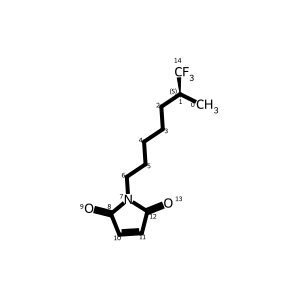 C[C@@H](CCCCCN1C(=O)C=CC1=O)C(F)(F)F